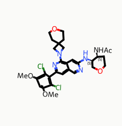 COc1cc(OC)c(Cl)c(-c2cc3cnc(N[C@@H]4COCC[C@@H]4NC(C)=O)cc3c(N3CC4(CCOCC4)C3)n2)c1Cl